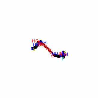 Cc1ncsc1-c1ccc(CNC(=O)[C@@H]2C[C@@H](O)CN2C(=O)[C@@H](NC(=O)COCCOCCOCCOCCOCCNC(=O)c2ccc(-c3ccc4c(c3)C(=O)N(C(C(=O)Nc3nccs3)c3cc(F)ccc3N=O)C4)cc2)C(C)(C)C)cc1